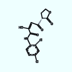 O=C(Nc1ccc(Cl)cc1Cl)/C(O)=C\C(=O)[C@@H]1CCOC1=O